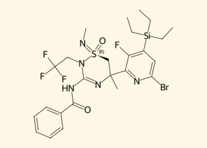 CC[Si](CC)(CC)c1cc(Br)nc(C2(C)C[S@](=O)(=NC)N(CC(F)(F)F)C(NC(=O)c3ccccc3)=N2)c1F